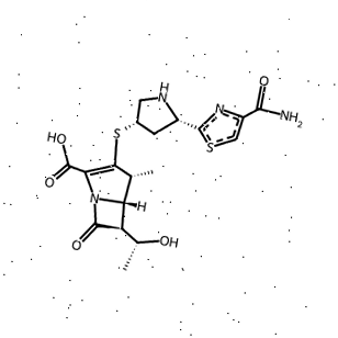 C[C@@H](O)[C@H]1C(=O)N2C(C(=O)O)=C(S[C@@H]3CN[C@H](c4nc(C(N)=O)cs4)C3)[C@H](C)[C@H]12